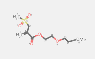 C=C(CS(C)(=O)=O)C(=O)OCCOCCOC